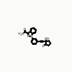 NC(=O)c1nn(-c2cccc(C#CC3(O)CCCC3=O)c2)c2ccccc12